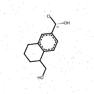 OCC1CCCc2cc([C@@H](O)Cl)ccc21